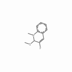 CSC1C(F)=Cc2ccccc2N1C